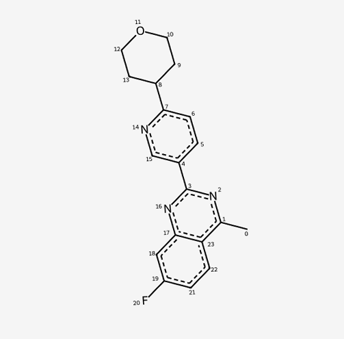 Cc1nc(-c2ccc(C3CCOCC3)nc2)nc2cc(F)ccc12